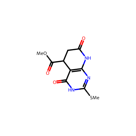 COC(=O)C1CC(=O)Nc2nc(SC)[nH]c(=O)c21